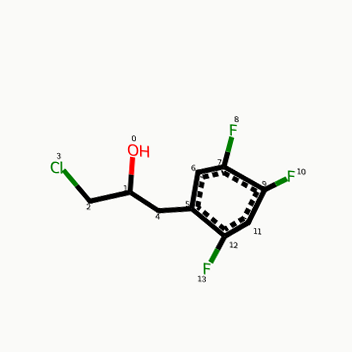 OC(CCl)Cc1cc(F)c(F)cc1F